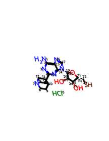 Cl.Nc1nc(C2CN3CCC2CC3)nc2c1ncn2[C@@H]1O[C@H](CS)[C@@H](O)[C@H]1O